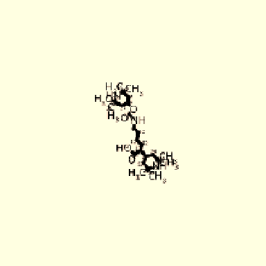 CC1(C)CC(OC(=O)NCCCCC(C(=O)O)C2CC(C)(C)NC(C)(C)C2)CC(C)(C)N1